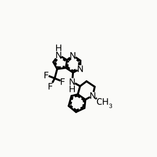 CN1CCC(Nc2ncnc3[nH]cc(C(F)(F)F)c23)c2ccccc21